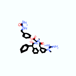 CN(C(=N)N)c1cccc(CC(=O)N(C)C(NC(=O)C(c2ccccc2)c2ccccc2)C(=O)Oc2ccc(CNC(N)=O)cc2)c1